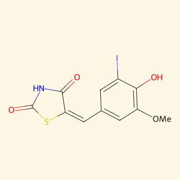 COc1cc(C=C2SC(=O)NC2=O)cc(I)c1O